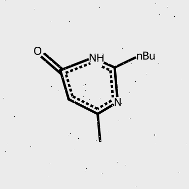 CCCCc1nc(C)cc(=O)[nH]1